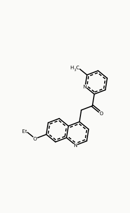 CCOc1ccc2c(CC(=O)c3cccc(C)n3)ccnc2c1